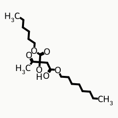 CCCCCCCCOC(=O)CC(O)(C(C)=O)C(=O)OCCCCCC